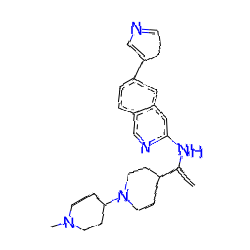 C=C(Nc1cc2cc(C3=CN=CC3)ccc2cn1)C1CCN(C2CCN(C)CC2)CC1